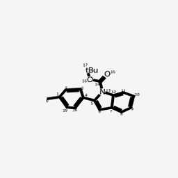 Cc1ccc(-c2cc3ccccc3n2C(=O)OC(C)(C)C)cc1